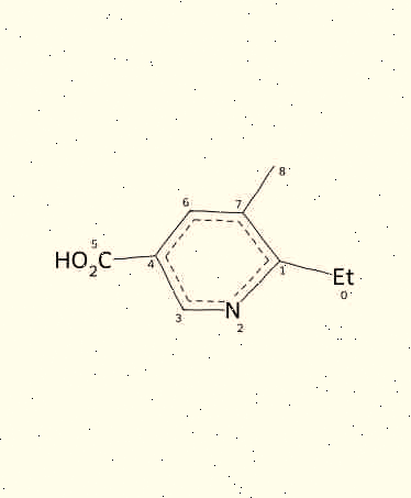 CCc1ncc(C(=O)O)cc1C